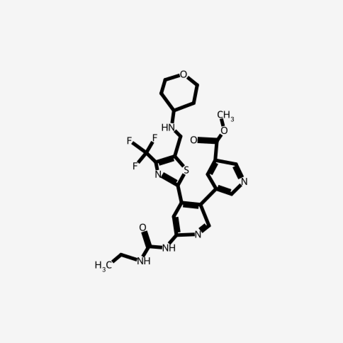 CCNC(=O)Nc1cc(-c2nc(C(F)(F)F)c(CNC3CCOCC3)s2)c(-c2cncc(C(=O)OC)c2)cn1